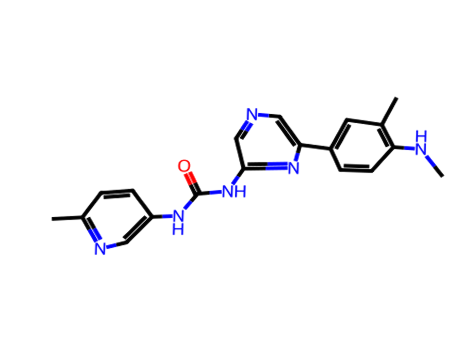 CNc1ccc(-c2cncc(NC(=O)Nc3ccc(C)nc3)n2)cc1C